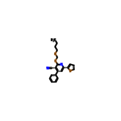 CCCCSCSc1nc(-c2cccs2)cc(-c2ccccc2)c1C#N